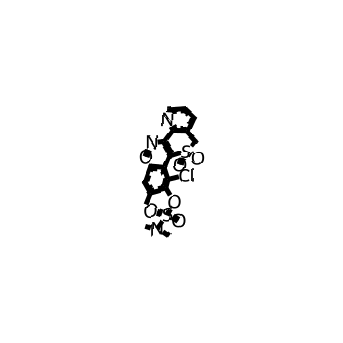 Cc1ccc(C2=C(N=O)c3ncccc3CS2(=O)=O)c(Cl)c1OS(=O)(=O)N(C)C